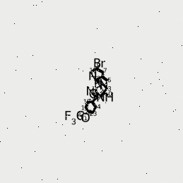 CC(C#N)(Cn1cc2cc(Br)cnc2n1)NC(=O)c1ccc(OC(F)(F)F)cc1